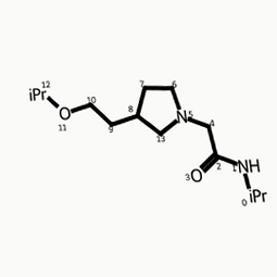 CC(C)NC(=O)CN1CCC(CCOC(C)C)C1